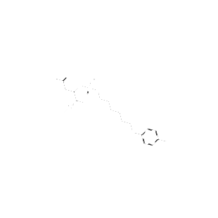 C[N+](C)(C)C([O-])C(CC(=O)O)OP(=O)(O)OCCCCCCOc1ccc(Cl)cc1